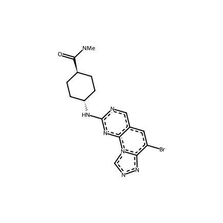 CNC(=O)[C@H]1CC[C@H](Nc2ncc3cc(Br)c4nncn4c3n2)CC1